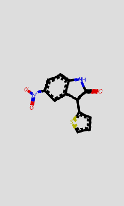 O=C1Nc2ccc([N+](=O)[O-])cc2C1c1cccs1